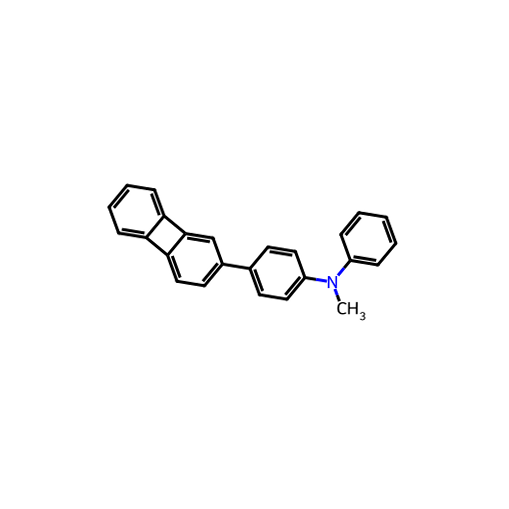 CN(c1ccccc1)c1ccc(-c2ccc3c(c2)-c2ccccc2-3)cc1